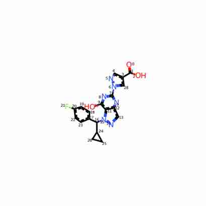 O=C(O)c1cnn(-c2nc(O)c3c(cnn3C(c3ccc(F)cc3)C3CC3)n2)c1